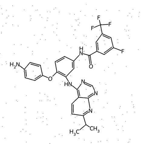 CC(C)c1ccc2c(Nc3cc(NC(=O)c4cc(F)cc(C(F)(F)F)c4)ccc3Oc3ccc(N)cc3)ncnc2n1